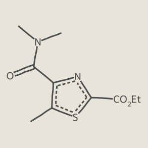 CCOC(=O)c1nc(C(=O)N(C)C)c(C)s1